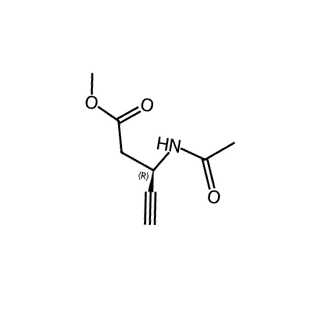 C#C[C@@H](CC(=O)OC)NC(C)=O